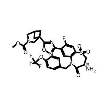 COC(=O)N1CC2CC(c3nc(-c4cc5c(cc4F)S(=O)(=O)C[C@H](N)C(=O)N5Cc4ccc(OC(F)(F)F)cc4)no3)(C2)C1